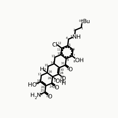 CC(C)(C)CCNCc1cc(O)c2c(c1Cl)CC1C[C@H]3CC(O)=C(C(N)=O)C(=O)[C@@]3(O)C(O)=C1C2=O